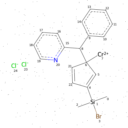 C[Si](C)(Br)C1=C[C]([Cr+2])(C(c2ccccc2)c2ccccn2)C=C1.[Cl-].[Cl-]